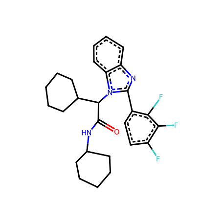 O=C(NC1CCCCC1)C(C1CCCCC1)n1c(-c2ccc(F)c(F)c2F)nc2ccccc21